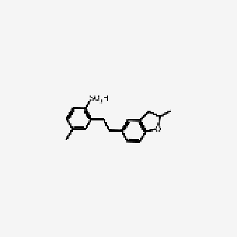 Cc1ccc(S(=O)(=O)O)c(CCc2ccc3c(c2)CC(C)O3)c1